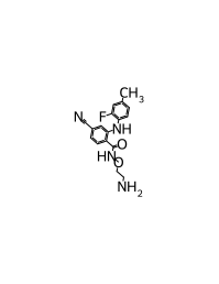 Cc1ccc(Nc2cc(C#N)ccc2C(=O)NOCCN)c(F)c1